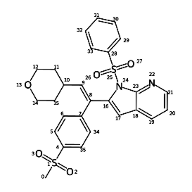 CS(=O)(=O)c1ccc(C(=CC2CCOCC2)c2cc3cccnc3n2S(=O)(=O)c2ccccc2)cc1